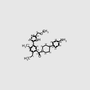 CCc1cc(C)c(-c2nnc(COC)[nH]2)cc1C(=O)N1CCC(c2ccc(N)cc2)CC1